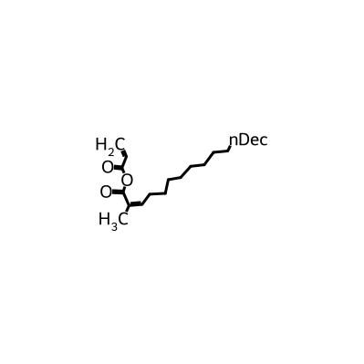 C=CC(=O)OC(=O)C(C)=CCCCCCCCCCCCCCCCCCC